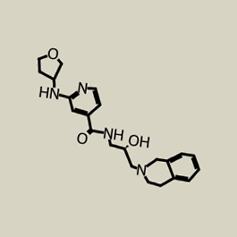 O=C(NC[C@H](O)CN1CCc2ccccc2C1)c1ccnc(NC2CCOC2)c1